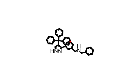 c1ccc(CNCc2cccc(-c3n[nH]cc3C(c3ccccc3)(c3ccccc3)c3ccccc3)c2)cc1